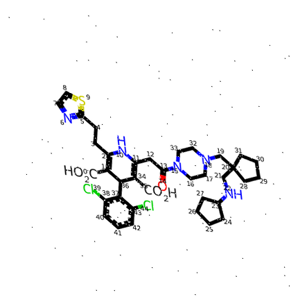 O=C(O)C1=C(CCc2nccs2)NC(CC(=O)N2CCN(CC3(CNC4CCCC4)CCCC3)CC2)=C(C(=O)O)C1c1c(Cl)cccc1Cl